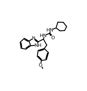 COc1ccc(CC(NC(=O)NC2CCCCC2)c2nc3ccccc3[nH]2)cc1